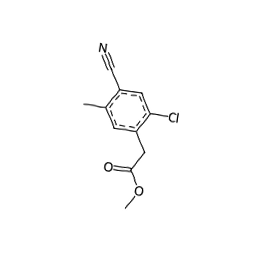 COC(=O)Cc1cc(C)c(C#N)cc1Cl